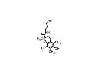 Cc1c(C)c2c(c(C)c1O)CCC(C)(C(=O)NCCCO)O2